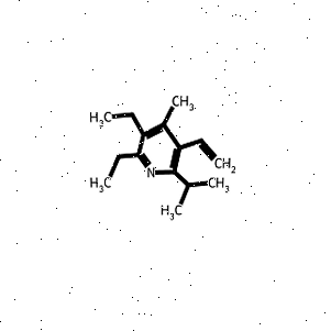 C=Cc1c(C(C)C)nc(CC)c(CC)c1C